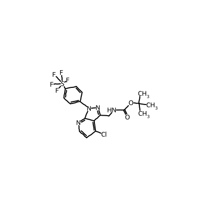 CC(C)(C)OC(=O)NCc1nn(-c2ccc(S(F)(F)(F)(F)F)cc2)c2nccc(Cl)c12